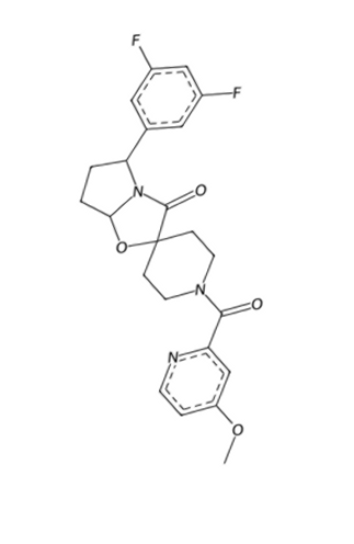 COc1ccnc(C(=O)N2CCC3(CC2)OC2CCC(c4cc(F)cc(F)c4)N2C3=O)c1